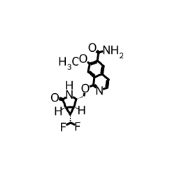 COc1cc2c(OC[C@H]3NC(=O)[C@@H]4[C@@H](C(F)F)[C@@H]43)nccc2cc1C(N)=O